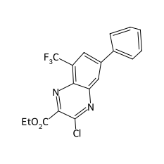 CCOC(=O)c1nc2c(C(F)(F)F)cc(-c3ccccc3)cc2nc1Cl